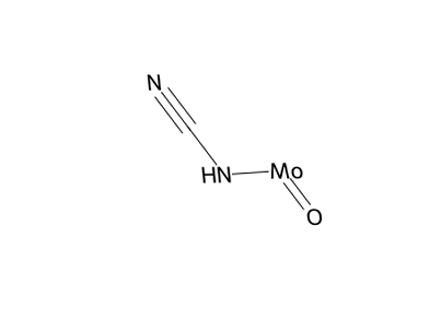 N#C[NH][Mo]=[O]